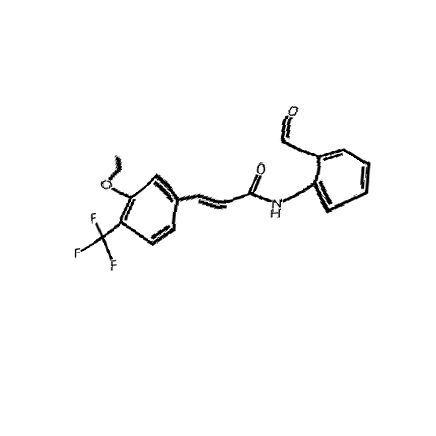 COc1cc(/C=C/C(=O)Nc2ccccc2C=O)ccc1C(F)(F)F